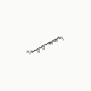 NCCCCNCCCNCCCNCCCNCCCN